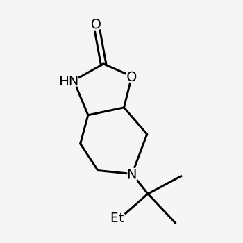 CCC(C)(C)N1CCC2NC(=O)OC2C1